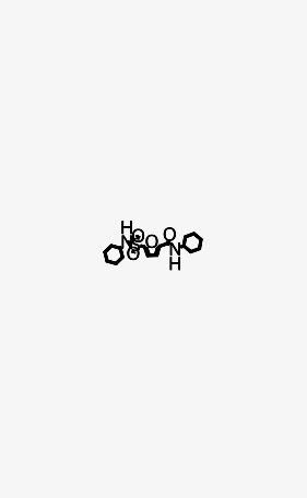 O=C(NC1CCCCC1)c1ccc(S(=O)(=O)NC2CCCCC2)o1